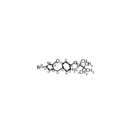 CC(C)(C)[Si](C)(C)Oc1ccc(Cc2cc(Br)sc2Cl)cc1